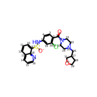 O=C(c1ccc(N[S+]([O-])c2cccc3cccnc23)cc1Cl)N1CCN(CC2CCOC2)CC1